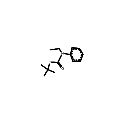 [CH2]CN(C(=O)OC(C)(C)C)c1ccccc1